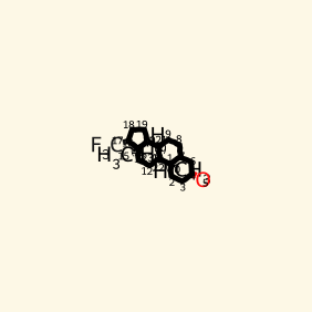 C[C@]12CCC(=O)CC1CC[C@@H]1[C@H]2CC[C@]2(C)C(C(F)(F)F)CC[C@@H]12